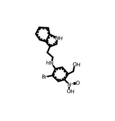 O=[N+](O)c1cc(Br)c(NCCc2c[nH]c3ccccc23)cc1CO